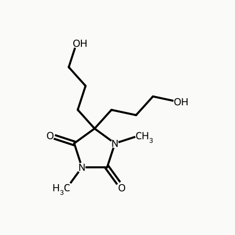 CN1C(=O)N(C)C(CCCO)(CCCO)C1=O